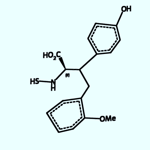 COc1ccccc1CC(c1ccc(O)cc1)[C@@H](NS)C(=O)O